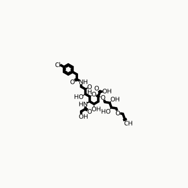 C#CCOC[C@H](O)[C@@H](O)CO[C@]1(C(=O)O)C[C@H](O)[C@@H](NC(=O)CO)[C@H]([C@H](O)[C@H](O)CNC(=O)Cc2ccc(Cl)cc2)O1